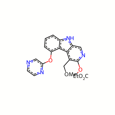 CCOC(=O)Oc1ncc2[nH]c3cccc(Oc4cnccn4)c3c2c1COC